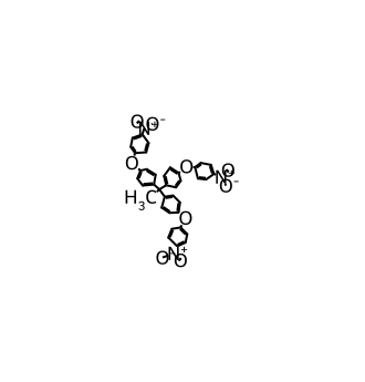 CC(c1ccc(Oc2ccc([N+](=O)[O-])cc2)cc1)(c1ccc(Oc2ccc([N+](=O)[O-])cc2)cc1)c1ccc(Oc2ccc([N+](=O)[O-])cc2)cc1